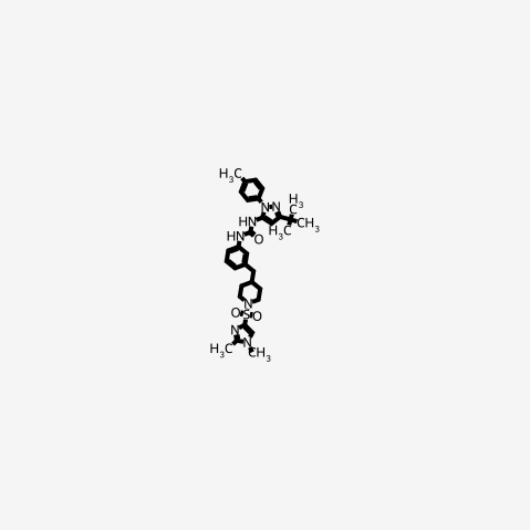 Cc1ccc(-n2nc(C(C)(C)C)cc2NC(=O)Nc2cccc(CC3CCN(S(=O)(=O)c4cn(C)c(C)n4)CC3)c2)cc1